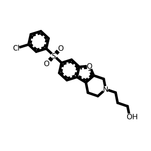 O=S(=O)(c1cccc(Cl)c1)c1ccc2c3c(oc2c1)CN(CCCO)CC3